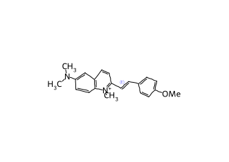 COc1ccc(/C=C/c2ccc3cc(N(C)C)ccc3[n+]2C)cc1